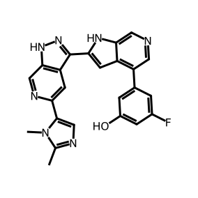 Cc1ncc(-c2cc3c(-c4cc5c(-c6cc(O)cc(F)c6)cncc5[nH]4)n[nH]c3cn2)n1C